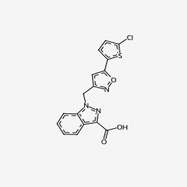 O=C(O)c1nn(Cc2cc(-c3ccc(Cl)s3)on2)c2ccccc12